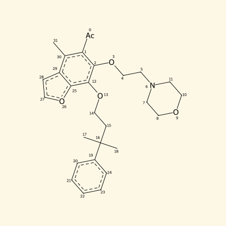 CC(=O)c1c(OCCN2CCOCC2)c(OCCC(C)(C)c2ccccc2)c2occc2c1C